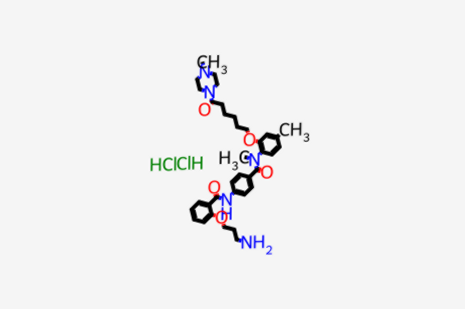 Cc1ccc(N(C)C(=O)c2ccc(NC(=O)c3ccccc3OCCCN)cc2)c(OCCCCCC(=O)N2CCN(C)CC2)c1.Cl.Cl